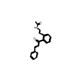 CC(=O)NCCc1ccccc1C(=O)/C=C/c1ccccc1